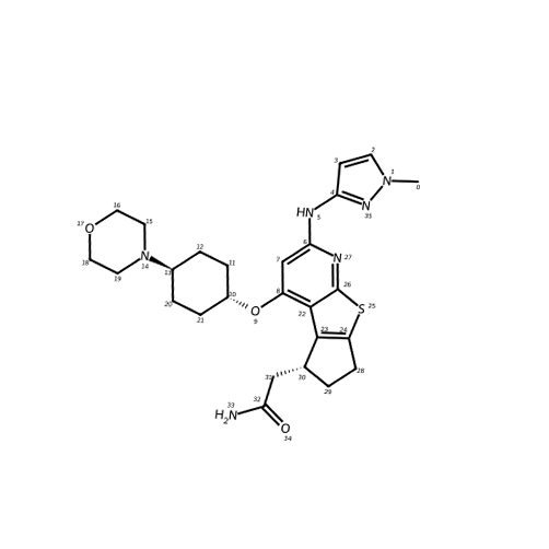 Cn1ccc(Nc2cc(O[C@H]3CC[C@H](N4CCOCC4)CC3)c3c4c(sc3n2)CC[C@@H]4CC(N)=O)n1